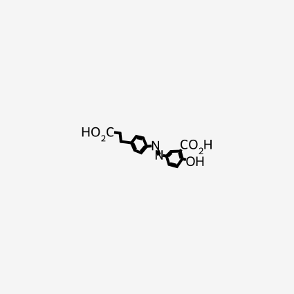 O=C(O)CCc1ccc(N=Nc2ccc(O)c(C(=O)O)c2)cc1